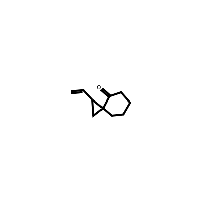 C=CC1CC12CCCCC2=O